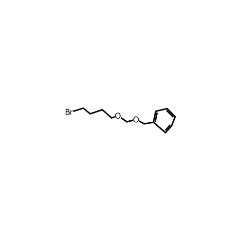 BrCCCCOCOCc1ccccc1